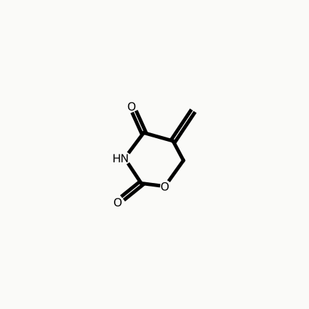 C=C1COC(=O)NC1=O